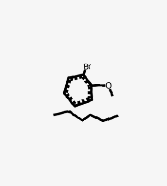 CCCCCC.COc1ccccc1Br